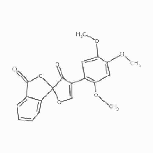 COc1cc(OC)c(C2=COC3(OC(=O)c4ccccc43)C2=O)cc1OC